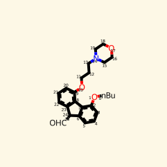 CCCCOc1cccc2c1-c1c(OCCCN3CCOCC3)cccc1C2C=O